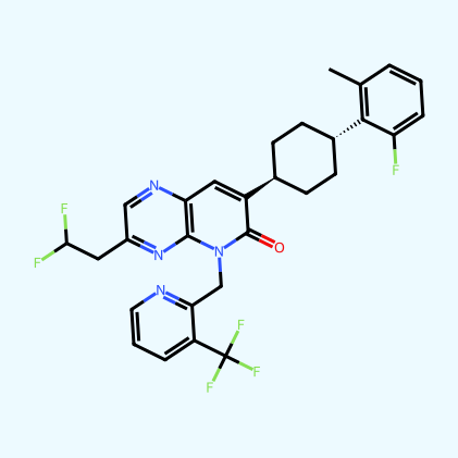 Cc1cccc(F)c1[C@H]1CC[C@H](c2cc3ncc(CC(F)F)nc3n(Cc3ncccc3C(F)(F)F)c2=O)CC1